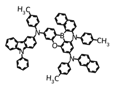 Cc1ccc(N(c2cc3c4c(c2)N(c2ccc(C)cc2)c2ccc5ccccc5c2B4c2ccc(N(c4ccc(C)cc4)c4ccc5c(c4)c4ccccc4n5-c4ccccc4)cc2O3)c2ccc3ccccc3c2)cc1